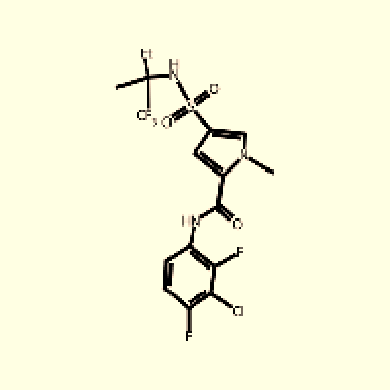 CCC(C)(NS(=O)(=O)c1cc(C(=O)Nc2ccc(F)c(Cl)c2F)n(C)c1)C(F)(F)F